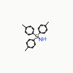 Cc1ccc([Si]([NH])(c2ccc(C)cc2)c2ccc(C)cc2)cc1